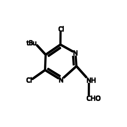 CC(C)(C)c1c(Cl)nc(NC=O)nc1Cl